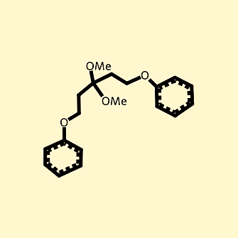 COC(CCOc1ccccc1)(CCOc1ccccc1)OC